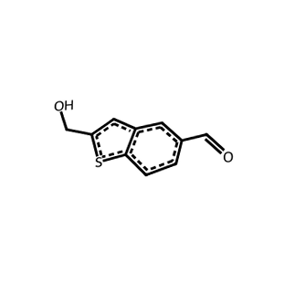 O=Cc1ccc2sc(CO)cc2c1